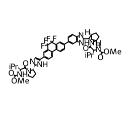 COC(=O)N[C@H](C(=O)N1CCC[C@H]1c1ncc(-c2ccc3c(c2)C(F)(F)C(F)(F)c2cc(-c4ccc5nc(C6[C@H]7CC[C@H](C7)N6C(=O)[C@@H](NC(=O)OC)C(C)C)[nH]c5c4)ccc2-3)[nH]1)C(C)C